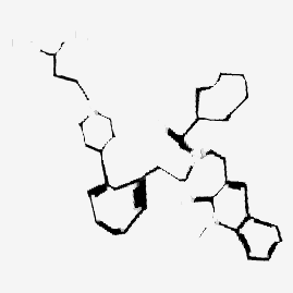 CC(C)CCN1CCC(c2ccccc2CCN(Cc2cc3ccccc3n(C)c2=O)C(=O)C2CCCCC2)CC1